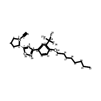 C#CN1CCC[C@H]1c1nc(-c2ccc(OCCCCCCCC)c(C(F)(F)F)c2)no1